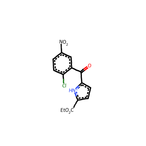 CCOC(=O)c1ccc(C(=O)c2cc([N+](=O)[O-])ccc2Cl)[nH]1